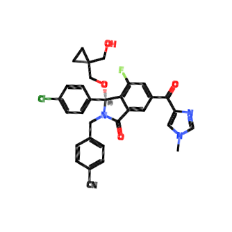 Cn1cnc(C(=O)c2cc(F)c3c(c2)C(=O)N(Cc2ccc(C#N)cc2)[C@@]3(OCC2(CO)CC2)c2ccc(Cl)cc2)c1